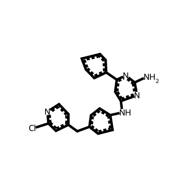 Nc1nc(Nc2ccc(Cc3ccnc(Cl)c3)cc2)cc(-c2ccccc2)n1